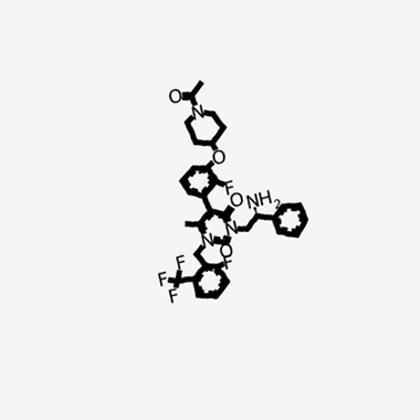 CC(=O)N1CCC(Oc2cccc(-c3c(C)n(Cc4c(F)cccc4C(F)(F)F)c(=O)n(C[C@H](N)c4ccccc4)c3=O)c2F)CC1